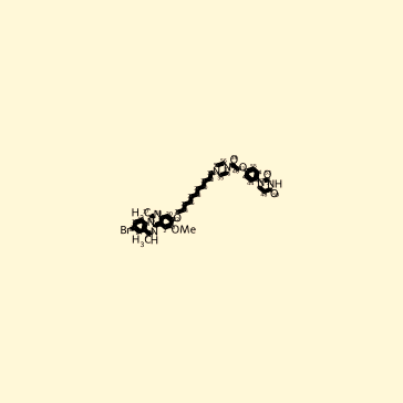 COc1cc2c(N[C@H](C)c3cccc(Br)c3)nc(C)nc2cc1OCCCCCCCCCCCN1CCN(C(=O)COc2ccc(N3CCC(=O)NC3=O)cc2)CC1